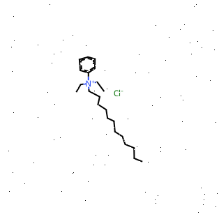 CCCCCCCCCCCC[N+](CC)(CC)c1ccccc1.[Cl-]